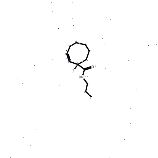 CCCNC(=O)C1(F)/C=C\CCCCC1